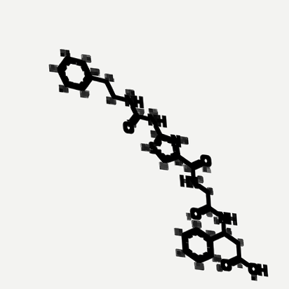 O=C(O)CC(NC(=O)CNC(=O)c1csc(NC(=O)NCCc2ccccc2)n1)c1ccccc1